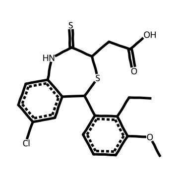 CCc1c(OC)cccc1C1SC(CC(=O)O)C(=S)Nc2ccc(Cl)cc21